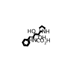 O=C(O)N[C@@H](Cc1ccccc1)[C@H](O)[C@@H](O)[C@@H]1CCCN1